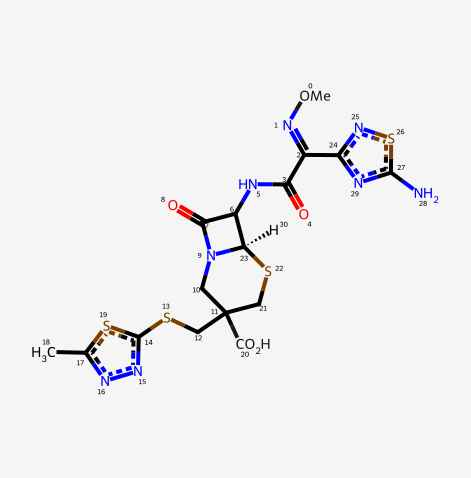 CON=C(C(=O)NC1C(=O)N2CC(CSc3nnc(C)s3)(C(=O)O)CS[C@H]12)c1nsc(N)n1